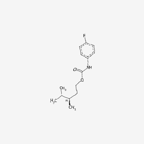 CC(C)[C@H](C)CCOC(=O)Nc1ccc(F)cc1